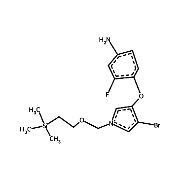 C[Si](C)(C)CCOCn1cc(Br)c(Oc2ccc(N)cc2F)c1